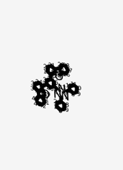 c1ccc(-c2nc(-c3ccccc3)nc(-c3cc(-c4cccc5c4oc4ccccc45)cc(-c4cccc5c4oc4ccccc45)c3)n2)cc1